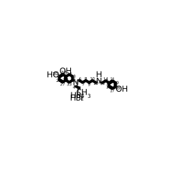 Br.Br.CCCN(CCCCCCNCCc1ccc(O)cc1)[C@H]1CCc2c(ccc(O)c2O)C1